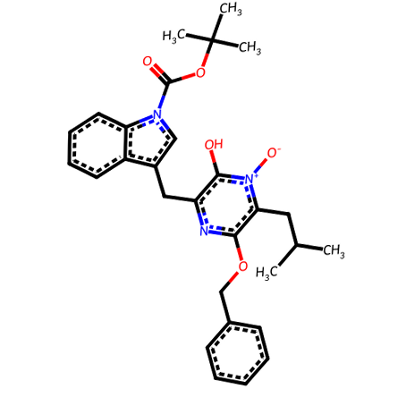 CC(C)Cc1c(OCc2ccccc2)nc(Cc2cn(C(=O)OC(C)(C)C)c3ccccc23)c(O)[n+]1[O-]